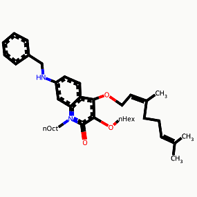 CCCCCCCCn1c(=O)c(OCCCCCC)c(OCC=C(C)CCC=C(C)C)c2ccc(NCc3ccccc3)cc21